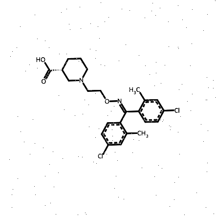 Cc1cc(Cl)ccc1C(=NOCCN1CCC[C@@H](C(=O)O)C1)c1ccc(Cl)cc1C